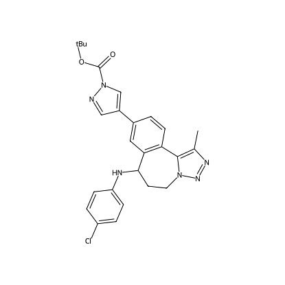 Cc1nnn2c1-c1ccc(-c3cnn(C(=O)OC(C)(C)C)c3)cc1C(Nc1ccc(Cl)cc1)CC2